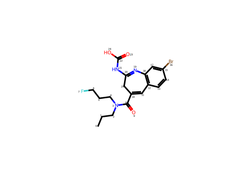 CCCN(CCCF)C(=O)C1=Cc2ccc(Br)cc2N=C(NC(=O)O)C1